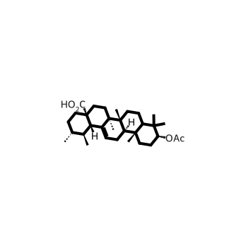 CC(=O)O[C@H]1CC[C@@]2(C)C(CC[C@]3(C)[C@@H]2CC=C2[C@@H]4[C@@H](C)[C@H](C)CC[C@]4(C(=O)O)CC[C@]23C)C1(C)C